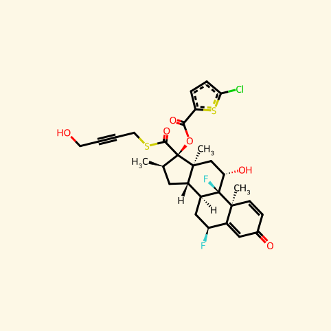 C[C@@H]1C[C@H]2[C@@H]3C[C@H](F)C4=CC(=O)C=C[C@]4(C)[C@@]3(F)[C@@H](O)C[C@]2(C)[C@@]1(OC(=O)c1ccc(Cl)s1)C(=O)SCC#CCO